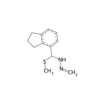 C=NNC(SC)c1cccc2c1CCC2